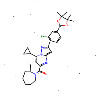 C[C@@H]1CCCCCN1C(=O)c1cc(C2CC2)n2nc(-c3ccc(B4OC(C)(C)C(C)(C)O4)cc3F)cc2n1